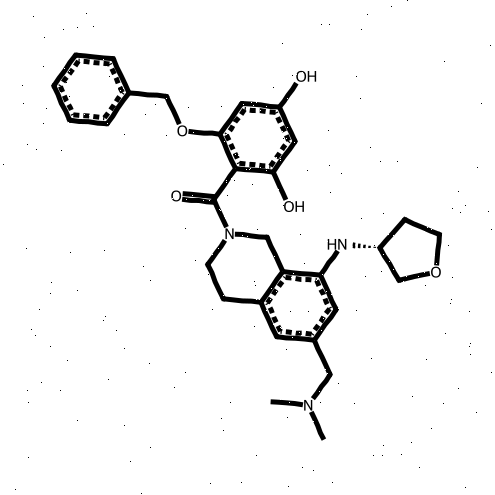 CN(C)Cc1cc2c(c(N[C@@H]3CCOC3)c1)CN(C(=O)c1c(O)cc(O)cc1OCc1ccccc1)CC2